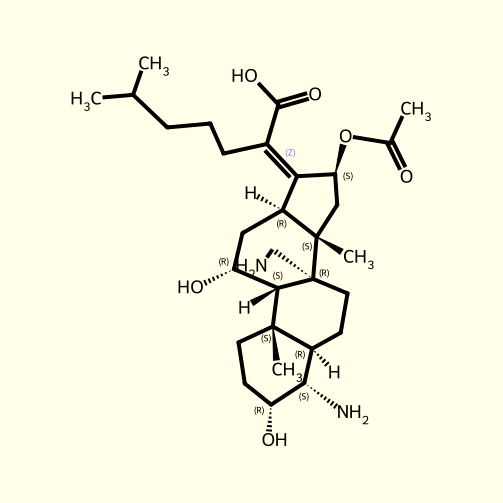 CC(=O)O[C@H]1C[C@@]2(C)[C@@H](C[C@@H](O)[C@H]3[C@@]4(C)CC[C@@H](O)[C@@H](N)[C@@H]4CC[C@@]32CN)/C1=C(\CCCC(C)C)C(=O)O